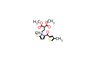 COC(=O)C(CCn1c(SC)ccc1C(=O)c1cc(C)cs1)C(=O)OC